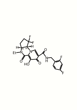 CCN1C(=O)c2c(O)c(=O)c(C(=O)NCc3ccc(F)cc3F)cn2[C@@H]2[C@H]1CCC2(F)F